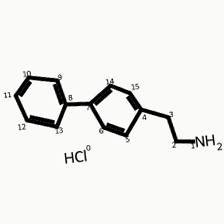 Cl.NCCc1ccc(-c2ccccc2)cc1